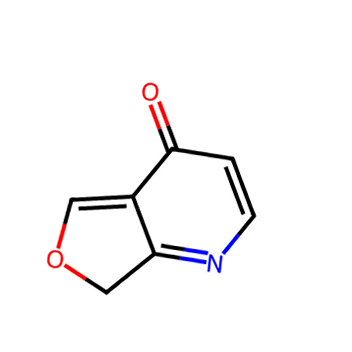 O=C1C=CN=C2COC=C12